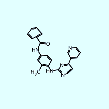 Cc1cc(NC(=O)c2ccccc2)ccc1Nc1nccc(-c2cccnc2)n1